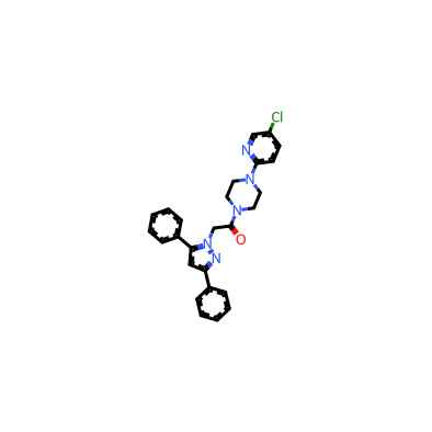 O=C(Cn1nc(-c2ccccc2)cc1-c1ccccc1)N1CCN(c2ccc(Cl)cn2)CC1